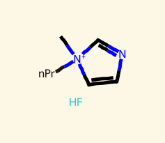 CCC[N+]1(C)C=CN=C1.F